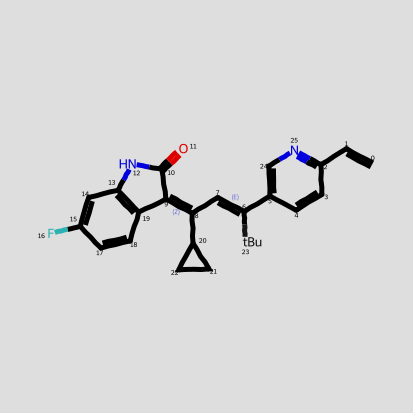 C=Cc1ccc(/C(=C/C(=C2\C(=O)Nc3cc(F)ccc32)C2CC2)C(C)(C)C)cn1